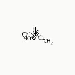 C=C1C=CC(S(=O)(=O)NC(Cc2ccccc2)C(=O)O)=CC1